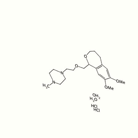 COc1cc2c(cc1OC)C(COCCN1CCN(C)CC1)OCCC2.Cl.Cl.O.O